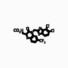 O=C(O)CC1Sc2ccc(C(F)(F)F)cc2N(Cc2nc3c(Cl)c(Cl)ccc3s2)C1=O